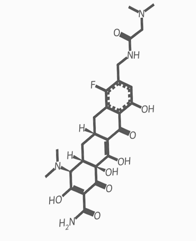 CN(C)CC(=O)NCc1cc(O)c2c(c1F)C[C@H]1C[C@H]3[C@H](N(C)C)C(O)=C(C(N)=O)C(=O)[C@@]3(O)C(O)=C1C2=O